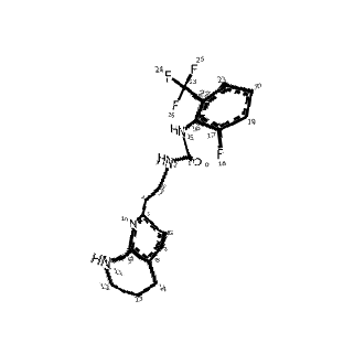 O=C(NCCc1ccc2c(n1)NCCC2)Nc1c(F)cccc1C(F)(F)F